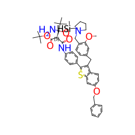 COc1cc(Cc2c(-c3ccc(NC(=O)[C@@H](C(=O)OC(C)(C)C)C(N)(O[SiH](C)C)C(C)(C)C)cc3)sc3cc(OCc4ccccc4)ccc23)ccc1CN1CCCC1